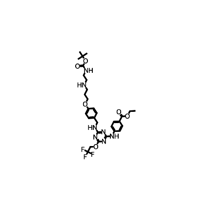 CCOC(=O)c1ccc(Nc2nc(NCc3ccc(OCCCNCCNC(=O)OC(C)(C)C)cc3)nc(OCC(F)(F)F)n2)cc1